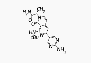 CC(C(N)=O)n1ccc2cc(-c3cnc(N)nc3)nc(NC(C)(C)C)c2c1=O